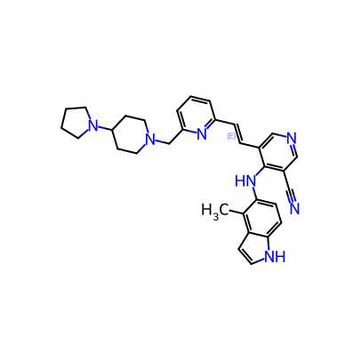 Cc1c(Nc2c(C#N)cncc2/C=C/c2cccc(CN3CCC(N4CCCC4)CC3)n2)ccc2[nH]ccc12